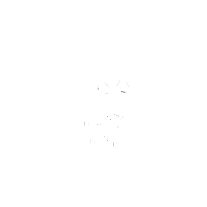 C=CC1([C@@H](NC(=O)OCC2c3ccccc3-c3ccccc32)C(=O)O)C[N+](C)(C)C1